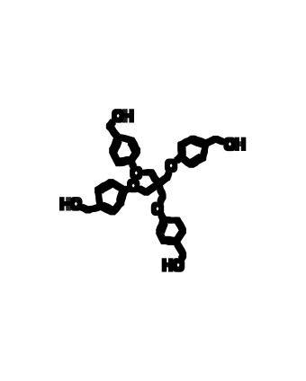 OCC1=CC=C(OCC(COc2ccc(CO)cc2)(COc2ccc(CO)cc2)COc2ccc(CO)cc2)CC1